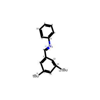 CC(C)(C)c1cc(/C=N/c2ccccc2)cc(C(C)(C)C)c1